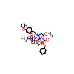 COc1ccc(CN([C@H]2C[C@@H](C)N(C(=O)OCc3ccccc3)[C@H]2CO)S(=O)(=O)N(C)C)cc1